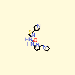 O=C(Nc1cccc(CN2CCCC2)n1)Nc1csc(-c2ccncc2)n1